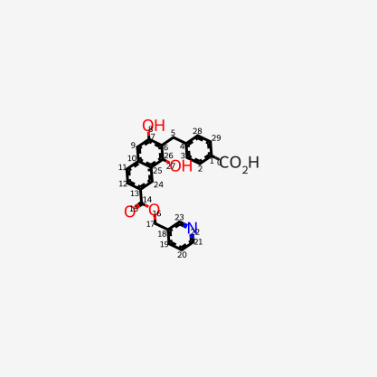 O=C(O)c1ccc(Cc2c(O)cc3ccc(C(=O)OCc4cccnc4)cc3c2O)cc1